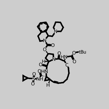 CC(C)(C)OC(=O)N[C@H]1CCCCC/C=C\[C@@H]2C[C@@]2(C(=O)NS(=O)(=O)C2CC2)NC(=O)[C@@H]2C[C@@H](OC(=O)N3CCc4ccccc4C3CN3CCCCC3)CN2C1=O